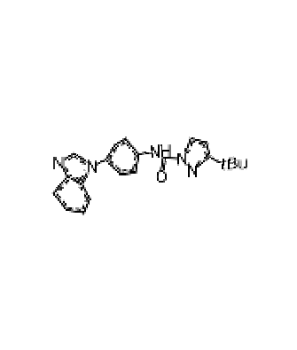 CC(C)(C)c1ccn(C(=O)Nc2ccc(-n3cnc4ccccc43)cc2)n1